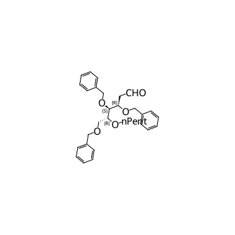 CCCCCO[C@H](COCc1ccccc1)[C@@H](OCc1ccccc1)[C@@H](CC=O)OCc1ccccc1